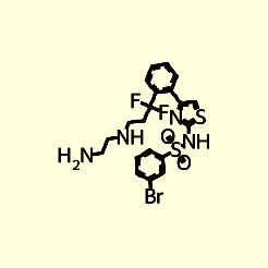 NCCNCCC(F)(F)c1ccccc1-c1csc(NS(=O)(=O)c2cccc(Br)c2)n1